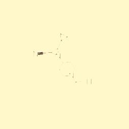 CC(C)N1CCC(N2C(C#N)C2C2CC2)CC1